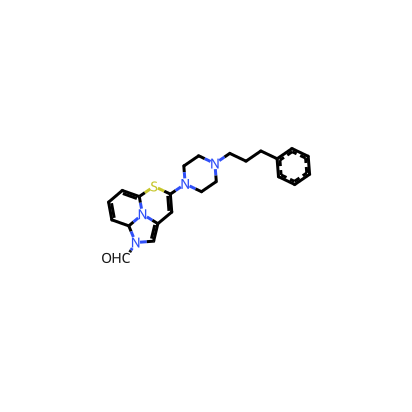 O=CN1C=C2C=C(N3CCN(CCCc4ccccc4)CC3)SC3=CC=CC1N23